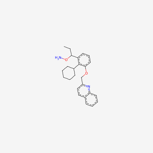 CCC(ON)c1cccc(OCc2ccc3ccccc3n2)c1C1CCCCC1